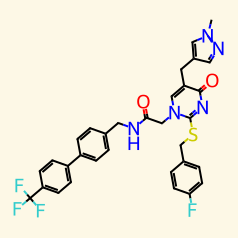 Cn1cc(Cc2cn(CC(=O)NCc3ccc(-c4ccc(C(F)(F)F)cc4)cc3)c(SCc3ccc(F)cc3)nc2=O)cn1